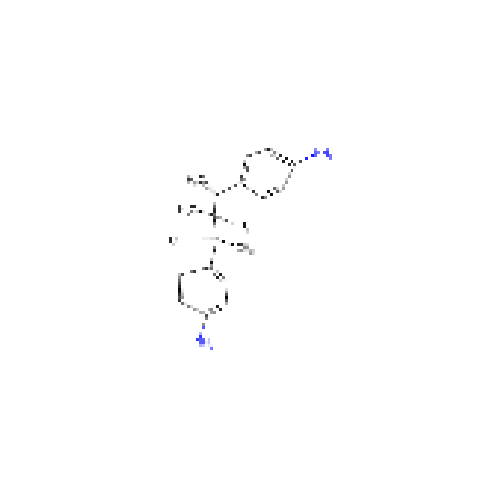 C=C(c1ccc(N)cc1)C(C)(C)C(C)(C)c1ccc(N)cc1